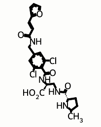 CC1CC[C@@H](C(=O)NC[C@H](NC(=O)c2c(Cl)cc(CNC(=O)/C=C/c3ccco3)cc2Cl)C(=O)O)N1